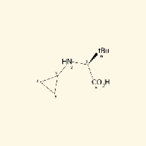 CC(C)(C)[C@H](NC1CC1)C(=O)O